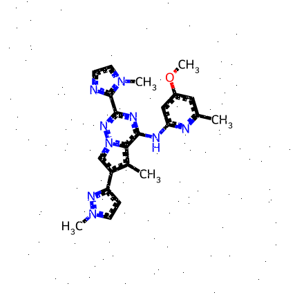 COc1cc(C)nc(Nc2nc(-c3nccn3C)nn3cc(-c4ccn(C)n4)c(C)c23)c1